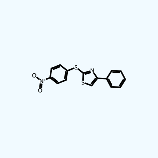 O=[N+]([O-])c1ccc(Sc2nc(-c3ccccc3)cs2)cc1